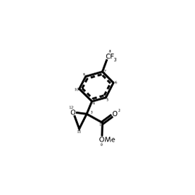 COC(=O)C1(c2ccc(C(F)(F)F)cc2)CO1